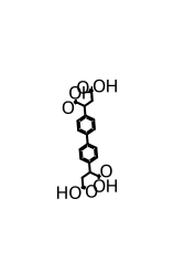 O=C(O)CC(C(=O)O)c1ccc(-c2ccc(C(CC(=O)O)C(=O)O)cc2)cc1